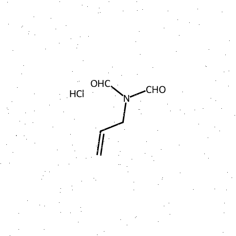 C=CCN(C=O)C=O.Cl